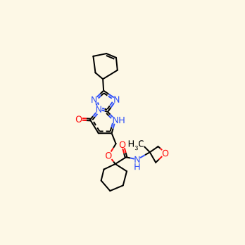 CC1(NC(=O)C2(OCc3cc(=O)n4nc(C5CC=CCC5)nc4[nH]3)CCCCC2)COC1